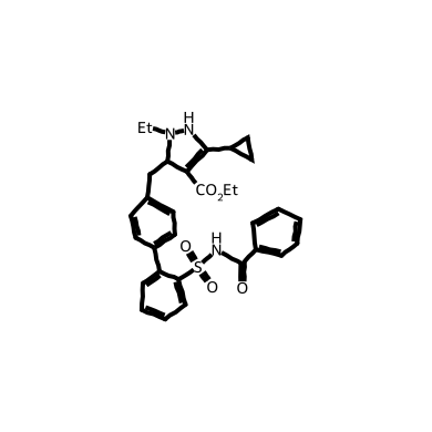 CCOC(=O)C1=C(C2CC2)NN(CC)C1Cc1ccc(-c2ccccc2S(=O)(=O)NC(=O)c2ccccc2)cc1